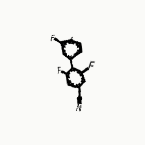 N#Cc1cc(F)c(-c2cc[c]c(F)c2)c(F)c1